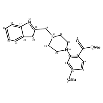 COC(=O)c1ccc(OCC(C)C)cc1N1CCN(Cc2nc3ccccc3s2)CC1